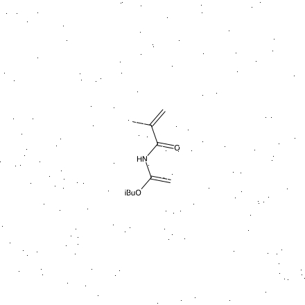 C=C(NC(=O)C(=C)C)OCC(C)C